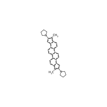 Cn1c(N2CCCC2)cc2c3ccc4c(ccc5c4ccc4c5cc(N5CCCC5)n4C)c3ccc21